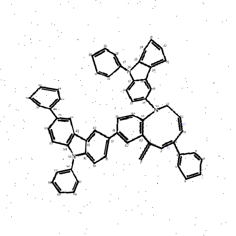 C=C1/C=C(c2ccccc2)\C=C/CN(c2ccc3c(c2)c2ccccc2n3-c2ccccc2)c2ccc(-c3ccc4c(c3)c3cc(-c5ccccc5)ccc3n4-c3ccccc3)cc21